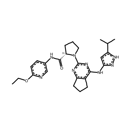 CCOc1ccc(NC(=O)[C@@H]2CCCN2c2nc3c(c(Nc4cc(C(C)C)[nH]n4)n2)CCC3)cn1